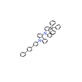 c1ccc(-c2ccc(-c3ccc(-n4c5ccccc5c5c(-n6c7ccccc7c7c([Si](c8ccccc8)(c8ccccc8)c8ccccc8)cccc76)cccc54)cc3)cc2)cc1